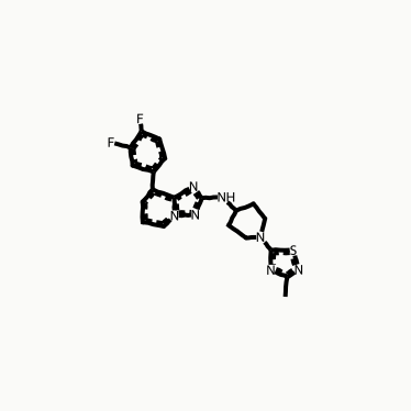 Cc1nsc(N2CCC(Nc3nc4c(-c5ccc(F)c(F)c5)cccn4n3)CC2)n1